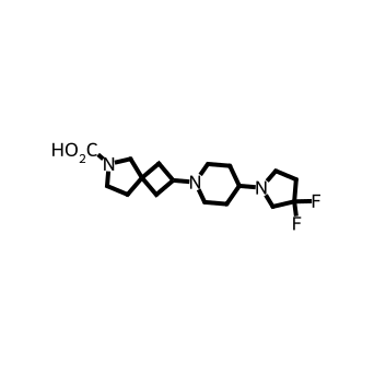 O=C(O)N1CCC2(CC(N3CCC(N4CCC(F)(F)C4)CC3)C2)C1